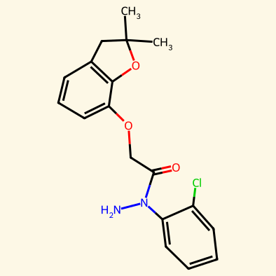 CC1(C)Cc2cccc(OCC(=O)N(N)c3ccccc3Cl)c2O1